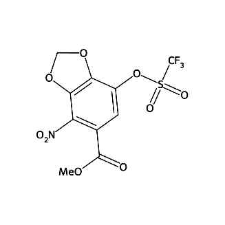 COC(=O)c1cc(OS(=O)(=O)C(F)(F)F)c2c(c1[N+](=O)[O-])OCO2